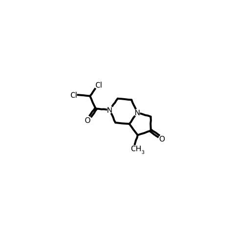 CC1C(=O)CN2CCN(C(=O)C(Cl)Cl)CC12